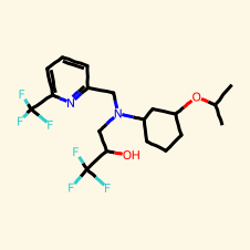 CC(C)OC1CCCC(N(Cc2cccc(C(F)(F)F)n2)CC(O)C(F)(F)F)C1